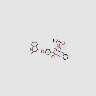 Cc1cc(COc2ccc(CC(=O)N3Cc4ccccc4C[C@@H]3C(=O)NOC(=O)C(F)(F)F)cc2)c2ccccc2n1